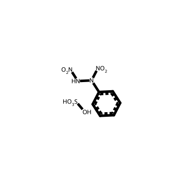 O=S(=O)(O)O.O=[N+]([O-])NN(c1ccccc1)[N+](=O)[O-]